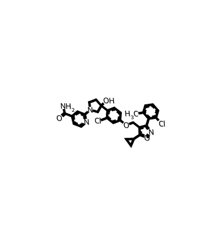 Cc1cccc(Cl)c1-c1noc(C2CC2)c1COc1ccc(C2(O)CCN(c3cc(C(N)=O)ccn3)C2)c(Cl)c1